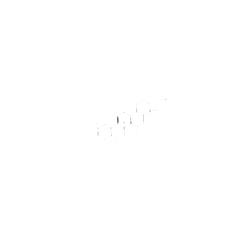 CO[C@H]1CC[C@@]2(C)C(CC[C@]3(C)C2CC=C2[C@@H]4C[C@@](C)(C(=O)O)CC[C@]4(C)CC[C@]23C)C1(C)C